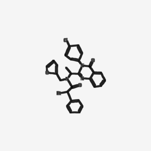 CCC(C(=O)N(Cc1ccco1)C(C)c1nc2ccccc2c(=O)n1-c1ccc(Cl)cc1)c1ccccc1